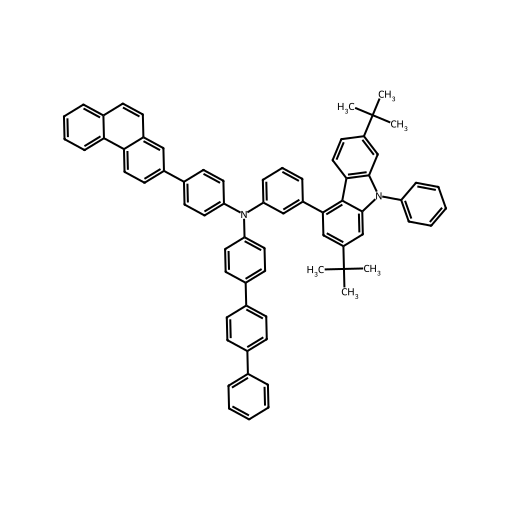 CC(C)(C)c1ccc2c3c(-c4cccc(N(c5ccc(-c6ccc(-c7ccccc7)cc6)cc5)c5ccc(-c6ccc7c(ccc8ccccc87)c6)cc5)c4)cc(C(C)(C)C)cc3n(-c3ccccc3)c2c1